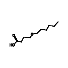 CCCCCCOCCCC(=O)O